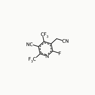 N#CCc1c(F)nc(C(F)(F)F)c(C#N)c1C(F)(F)F